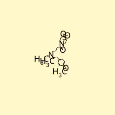 CCN(CCCC(=O)N1CCS(=O)(=O)CC1)C(C)Cc1ccc(OC)cc1